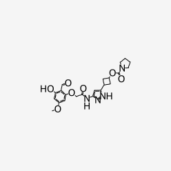 COc1cc(O)c(C=O)c(OCC(=O)Nc2cc(C3CC(OC(=O)N4CCCC4)C3)[nH]n2)c1